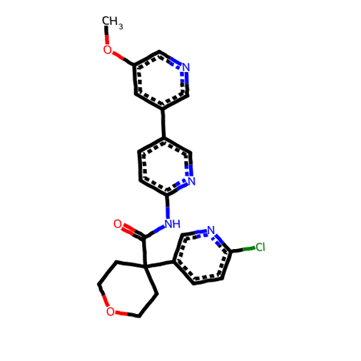 COc1cncc(-c2ccc(NC(=O)C3(c4ccc(Cl)nc4)CCOCC3)nc2)c1